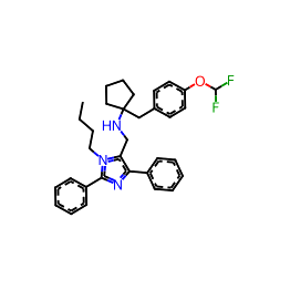 CCCCn1c(-c2ccccc2)nc(-c2ccccc2)c1CNC1(Cc2ccc(OC(F)F)cc2)CCCC1